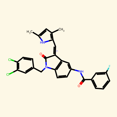 Cc1cc(C)c(/C=C2\C(=O)N(Cc3ccc(Cl)c(Cl)c3)c3ccc(NC(=O)c4cccc(F)c4)cc32)[nH]1